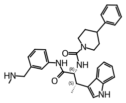 CNCc1cccc(NC(=O)[C@H](NC(=O)N2CCC(c3ccccc3)CC2)[C@@H](C)c2c[nH]c3ccccc23)c1